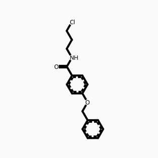 O=C(NCCCCl)c1ccc(OCc2ccccc2)cc1